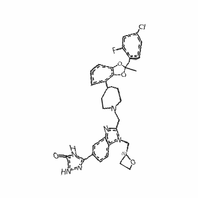 CC1(c2ccc(Cl)cc2F)Oc2cccc(C3CCN(Cc4nc5cc(-c6n[nH]c(=O)[nH]6)ccc5n4C[C@@H]4CCO4)CC3)c2O1